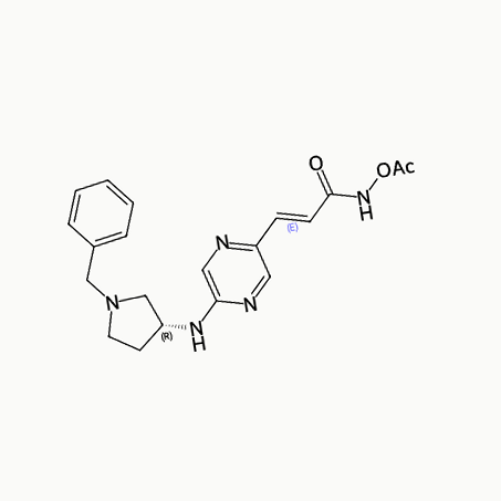 CC(=O)ONC(=O)/C=C/c1cnc(N[C@@H]2CCN(Cc3ccccc3)C2)cn1